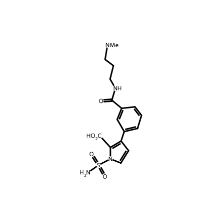 CNCCCNC(=O)c1cccc(-c2ccn(S(N)(=O)=O)c2C(=O)O)c1